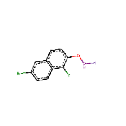 Fc1c(OPI)ccc2cc(Br)ccc12